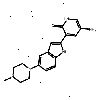 CN1CCN(c2ccc3[nH]c(-c4cc(N)c[nH]c4=O)cc3c2)CC1